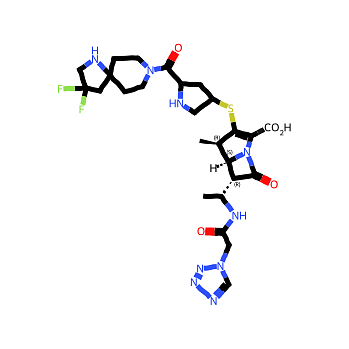 CC(NC(=O)Cn1cnnn1)[C@H]1C(=O)N2C(C(=O)O)=C(SC3CNC(C(=O)N4CCC5(CC4)CC(F)(F)CN5)C3)[C@H](C)[C@H]12